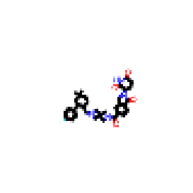 CC1(C)CCC(CN2CC3(C2)CN(C(=O)c2ccc4c(c2)CN(C2CCC(=O)NC2=O)C4=O)C3)=C(c2ccc(F)cc2)C1